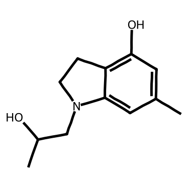 Cc1cc(O)c2c(c1)N(CC(C)O)CC2